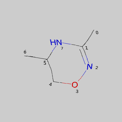 CC1=NOCC(C)N1